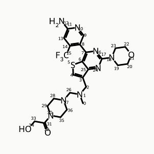 CN(Cc1csc2c(-c3cnc(N)cc3C(F)(F)F)nc(N3CCOCC3)nc12)CN1CCN(C(=O)CO)CC1